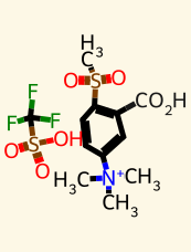 C[N+](C)(C)c1ccc(S(C)(=O)=O)c(C(=O)O)c1.O=S(=O)(O)C(F)(F)F